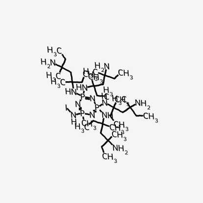 CCC(C)(N)CC(C)(CC)NP1(NC(C)(CC)CC(C)(N)CC)=NP(C)(NI)=NP(NC(C)(CC)CC(C)(N)CC)(NC(C)(CC)CC(C)(N)CC)=N1